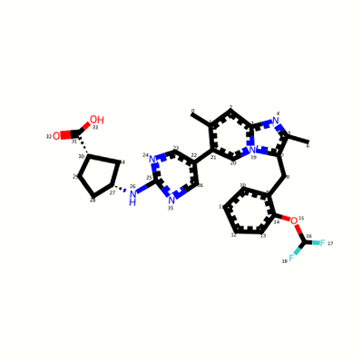 Cc1cc2nc(C)c(Cc3ccccc3OC(F)F)n2cc1-c1cnc(N[C@@H]2CC[C@H](C(=O)O)C2)nc1